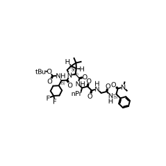 CCCC(NC(=O)[C@@H]1[C@@H]2[C@H](CN1C(=O)[C@@H](NC(=O)OC(C)(C)C)C1CCC(F)(F)CC1)C2(C)C)C(=O)C(=O)NCC(=O)N[C@H](C(=O)N(C)C)c1ccccc1